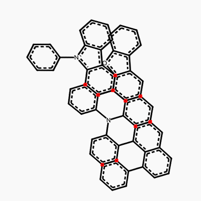 c1ccc(-c2cccc3cccc(-c4ccccc4N(c4ccccc4-c4ccc5c(c4)c4ccccc4n5-c4ccccc4)c4ccccc4-c4cccc5c4oc4ccccc45)c23)cc1